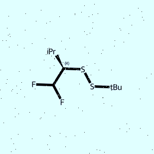 CC(C)[C@@H](SSC(C)(C)C)C(F)F